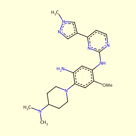 COc1cc(N2CCC(N(C)C)CC2)c(N)cc1Nc1nccc(-c2cnn(C)c2)n1